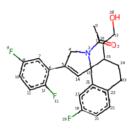 CC(=O)N1CC(c2cc(F)ccc2F)=CC12c1cc(F)ccc1CCC2CCO